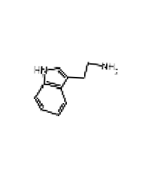 NCCc1c[nH]c2ccc[c]c12